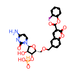 Nc1ccn([C@@H]2O[C@H](COCc3ccc4oc(=O)c(C(=O)Oc5ccccc5I)cc4c3)[C@@H](O[PH](=O)O)[C@H]2O)c(=O)n1